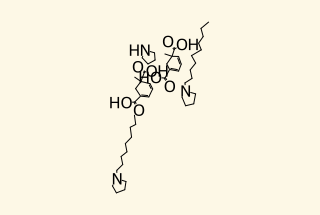 C1CCNC1.CC1(C(=O)O)C=CC=C(C(=O)O)C1.CC1(C(=O)O)C=CC=C(C(=O)O)C1.CCCCCCCCCCN1CCCC1.CCCCCCCCCN1CCCC1